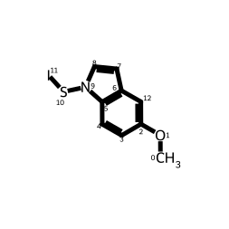 COc1ccc2c(ccn2SI)c1